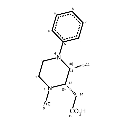 CC(=O)N1CCN(c2ccccc2)[C@H](C)[C@@H]1CC(=O)O